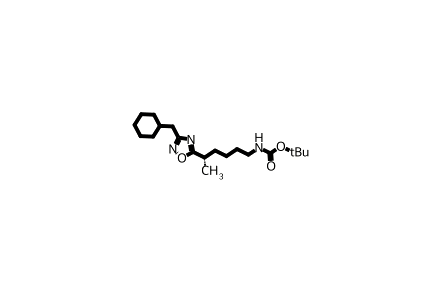 C[C@@H](CCCCNC(=O)OC(C)(C)C)c1nc(CC2CCCCC2)no1